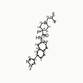 Cn1cc(-c2ccc3cnc(NC(=O)C4(F)CCN(CC(F)F)CC4)cc3c2)cn1